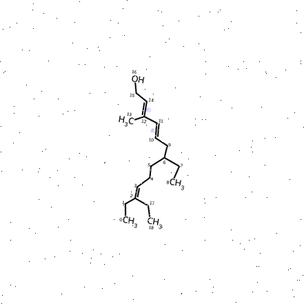 CCC(=CCCC(CC)C/C=C/C(C)=C/CO)CC